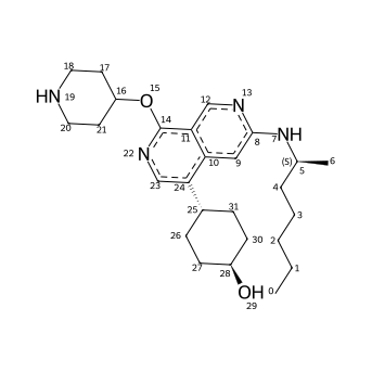 CCCCC[C@H](C)Nc1cc2c(cn1)c(OC1CCNCC1)ncc2[C@H]1CC[C@H](O)CC1